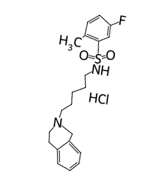 Cc1ccc(F)cc1S(=O)(=O)NCCCCCN1CCc2ccccc2C1.Cl